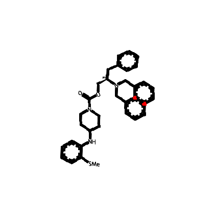 CSc1ccccc1NC1CCN(C(=O)OC[C@@H](Cc2ccccc2)N(Cc2ccccc2)Cc2ccccc2)CC1